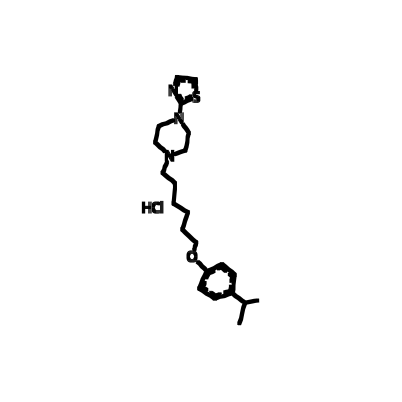 CC(C)c1ccc(OCCCCCCN2CCN(c3nccs3)CC2)cc1.Cl